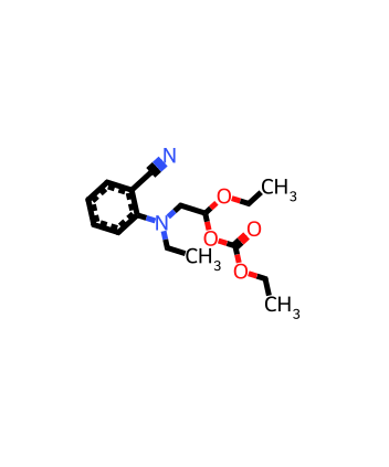 CCOC(=O)OC(CN(CC)c1ccccc1C#N)OCC